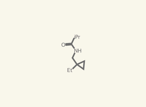 CCC1(CNC(=O)C(C)C)CC1